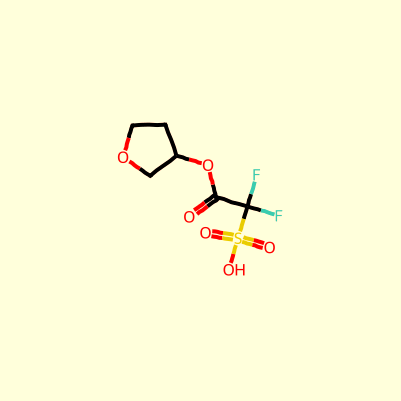 O=C(OC1CCOC1)C(F)(F)S(=O)(=O)O